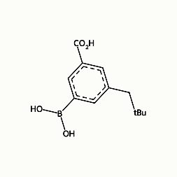 CC(C)(C)Cc1cc(B(O)O)cc(C(=O)O)c1